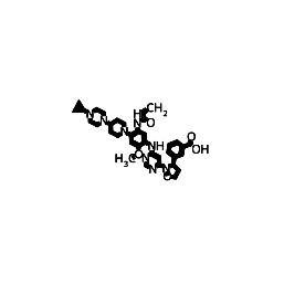 C=CC(=O)Nc1cc(Nc2cc(N3OCCC3c3cccc(C(=O)O)c3)ncn2)c(OC)cc1N1CCC(N2CCN(C3CC3)CC2)CC1